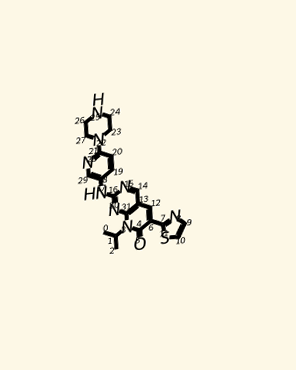 CC(C)n1c(=O)c(-c2nccs2)cc2cnc(Nc3ccc(N4CCNCC4)nc3)nc21